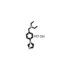 CCN(CC)Cc1ccc(-n2ccnc2)cc1.Cl.Cl